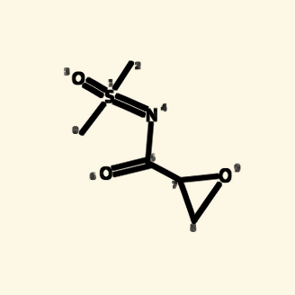 CS(C)(=O)=NC(=O)C1CO1